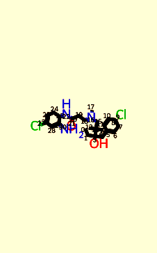 CCC(O)(CC1=CCC(Cl)C=C1)C(C)(C)CN(C)CCC(=O)NC1CC=C(Cl)C=C1N